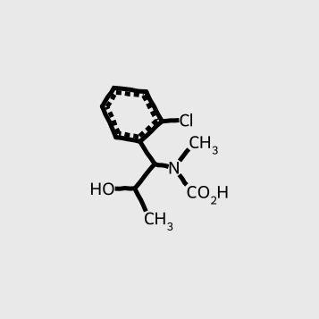 CC(O)C(c1ccccc1Cl)N(C)C(=O)O